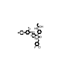 C=CC(O)Nc1cccc(N(C(=O)NCc2ccc(F)c(Cl)c2)c2cc(Nc3ccc(N4CCN(C)CC4)cc3OC)ncn2)c1